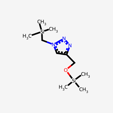 C[Si](C)(C)Cn1cc(CO[Si](C)(C)C)nn1